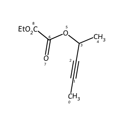 CC#CC(C)OC(=O)C(=O)OCC